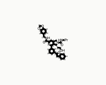 CC(C)NC(=O)N1Cc2cc(C(=O)NCc3ccc4c(c3)OCO4)nc(-c3cccc(-c4cc5ccccc5o4)c3)c2[C@H]1CCO